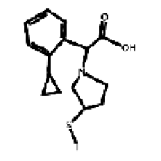 O=C(O)C(c1ccccc1C1CC1)N1CCC(SI)C1